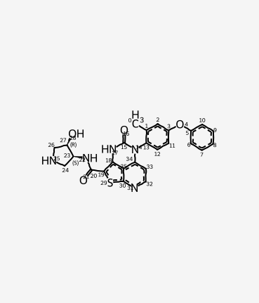 Cc1cc(Oc2ccccc2)ccc1N1C(=O)Nc2c(C(=O)N[C@H]3CNC[C@H]3O)sc3nccc1c23